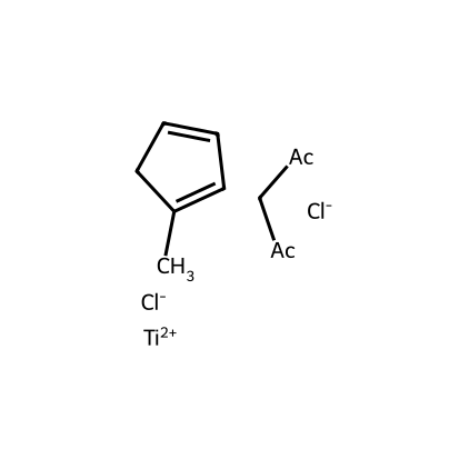 CC(=O)CC(C)=O.CC1=CC=CC1.[Cl-].[Cl-].[Ti+2]